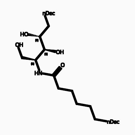 CCCCCCCCCCCCCCCC(=O)N[C@@H](CO)[C@H](O)[C@H](O)CCCCCCCCCCC